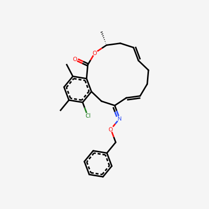 Cc1cc(C)c2c(c1Cl)CC(=NOCc1ccccc1)/C=C/CC/C=C/C[C@@H](C)OC2=O